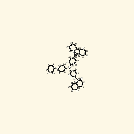 c1ccc(-c2ccc(N(c3ccc(-c4cccc5ccccc45)cc3)c3ccc(-n4c5ccccc5c5ccccc54)cc3)cc2)cc1